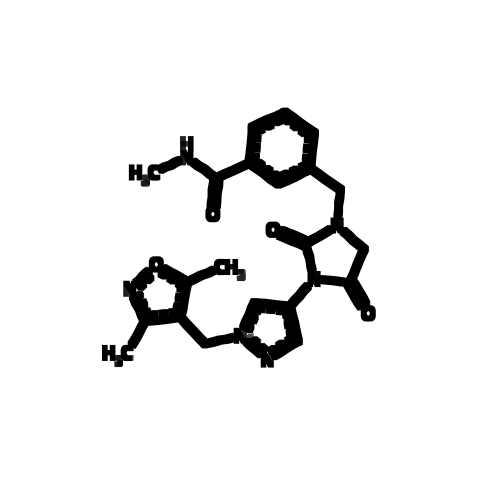 CNC(=O)c1cccc(CN2CC(=O)N(c3cnn(Cc4c(C)noc4C)c3)C2=O)c1